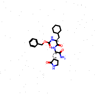 NC(=O)[C@H](C[C@@H]1CCNC1=O)NC(=O)[C@H](CC1CCCCC1)NC(=O)OCc1ccccc1